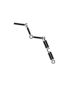 CSON=C=O